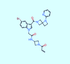 C=CC(=O)N1CC(NC(=O)Cn2cc(C(=O)N3CC4(CCN4c4ccccn4)C3)c3cc(Br)ccc32)C1